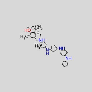 C=C(/C=C\C(=C/C)Nc1ccc(Nc2ccc(Nc3ccccc3)cc2)cc1)NCc1cc(C)c(O)c(C(C)(C)C)c1